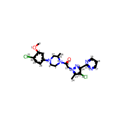 COc1cc(N2CCN(C(=O)Cn3nc(-c4ncccn4)c(Cl)c3C)C(C)C2)ccc1Cl